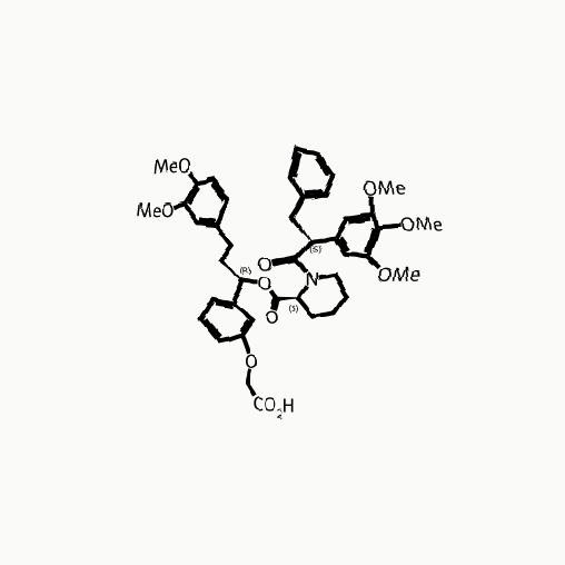 COc1ccc(CC[C@@H](OC(=O)[C@@H]2CCCCN2C(=O)[C@@H](Cc2ccccc2)c2cc(OC)c(OC)c(OC)c2)c2cccc(OCC(=O)O)c2)cc1OC